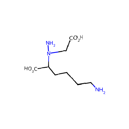 NCCCCC(C(=O)O)N(N)CC(=O)O